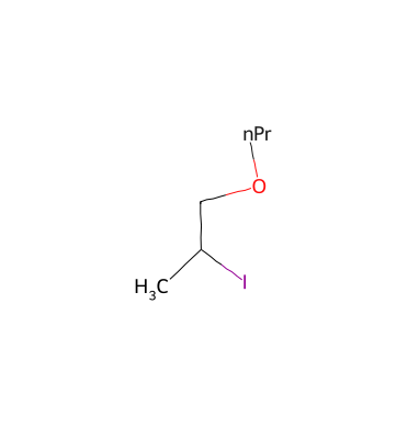 CCCOCC(C)I